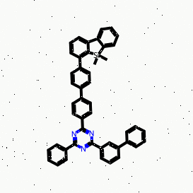 C[Si]1(C)c2ccccc2-c2cccc(-c3ccc(-c4ccc(-c5nc(-c6ccccc6)nc(-c6cccc(-c7ccccc7)c6)n5)cc4)cc3)c21